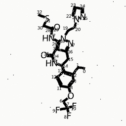 CCc1cc(OCC(F)(F)F)ccc1C1Cc2nn(CCn3cccn3)c(NC(=O)CSC)c2C(=O)N1